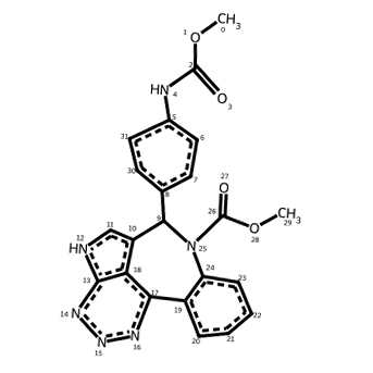 COC(=O)Nc1ccc(C2c3c[nH]c4nnnc(c34)-c3ccccc3N2C(=O)OC)cc1